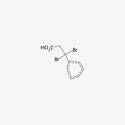 O=C(O)CC(Br)(Br)c1ccccc1